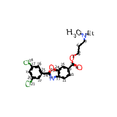 CCN(C)CCCOC(=O)c1ccc2nc(-c3cc(Cl)cc(Cl)c3)oc2c1